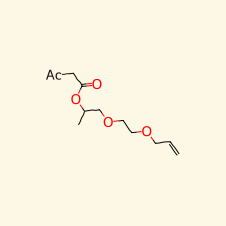 C=CCOCCOCC(C)OC(=O)CC(C)=O